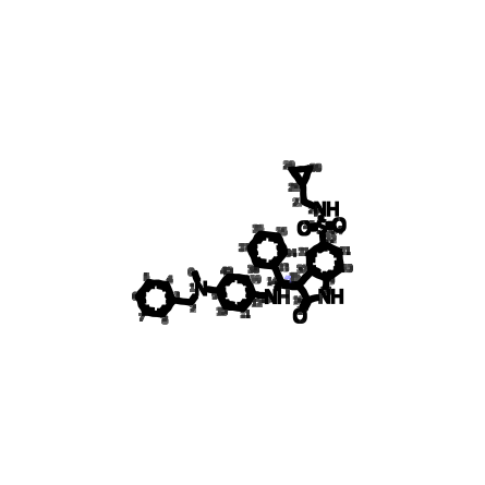 CN(Cc1ccccc1)c1ccc(N/C(=C2\C(=O)Nc3ccc(S(=O)(=O)NCC4CC4)cc32)c2ccccc2)cc1